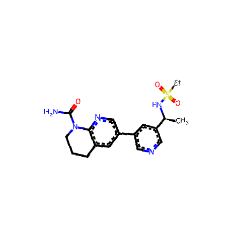 CCS(=O)(=O)N[C@@H](C)c1cncc(-c2cnc3c(c2)CCCN3C(N)=O)c1